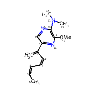 C=C(/C=C\C=C/C)c1cnc(N(C)C)c(OC)n1